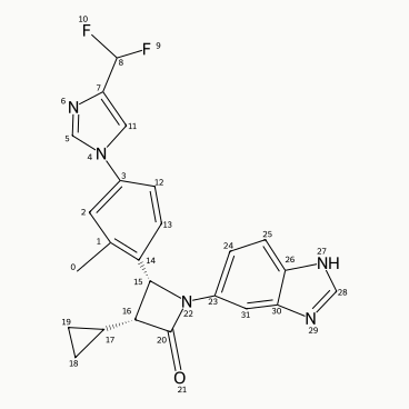 Cc1cc(-n2cnc(C(F)F)c2)ccc1[C@H]1[C@@H](C2CC2)C(=O)N1c1ccc2[nH]cnc2c1